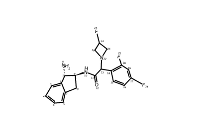 N[C@H]1c2ccccc2C[C@@H]1NC(=O)C(c1ccc(F)cc1F)N1CC(F)C1